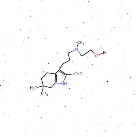 CCOCCN(C)CCCc1c(C=O)[nH]c2c1CCC(C)(C)C2